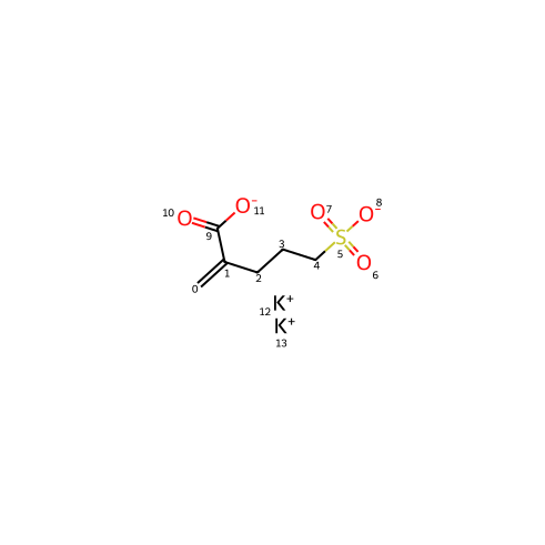 C=C(CCCS(=O)(=O)[O-])C(=O)[O-].[K+].[K+]